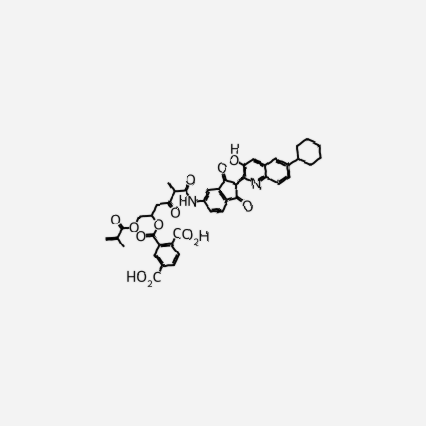 C=C(C)C(=O)OCC(CC(=O)C(C)C(=O)Nc1ccc2c(c1)C(=O)C(c1nc3ccc(C4CCCCC4)cc3cc1O)C2=O)OC(=O)c1cc(C(=O)O)ccc1C(=O)O